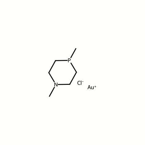 CN1CCP(C)CC1.[Au+].[Cl-]